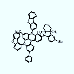 Cc1cc2c3c(c1)N(c1cccc4oc5ccccc5c14)c1cc(-c4ccccc4)ccc1B3c1ccc(N3c4ccc(C(C)(C)C)cc4C4(C)CCCCC34C)cc1N2c1ccc2c(c1)oc1ccccc12